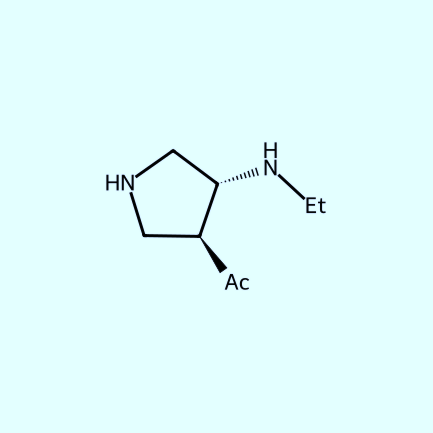 CCN[C@H]1CNC[C@@H]1C(C)=O